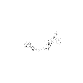 CCOC(=O)C1=C(CN2CCN3C(=O)N(CC(C)(C)C(=O)NCCCCCCOc4cc5c(cc4OC)-c4cc(=O)c(C(=O)O)cn4C(C(C)(C)C)C5)C[C@@H]3C2)NC(c2nccs2)=N[C@H]1c1cccc(F)c1Cl